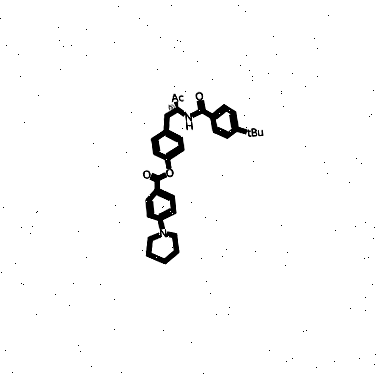 CC(=O)[C@H](Cc1ccc(OC(=O)c2ccc(N3CCCCC3)cc2)cc1)NC(=O)c1ccc(C(C)(C)C)cc1